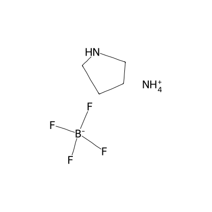 C1CCNC1.F[B-](F)(F)F.[NH4+]